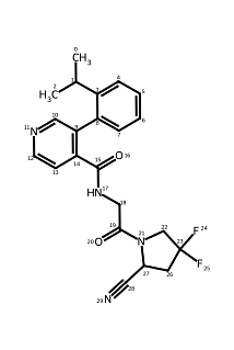 CC(C)c1ccccc1-c1cnccc1C(=O)NCC(=O)N1CC(F)(F)CC1C#N